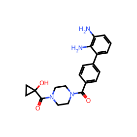 Nc1cccc(-c2ccc(C(=O)N3CCN(C(=O)C4(O)CC4)CC3)cc2)c1N